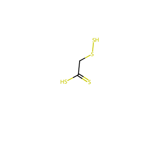 S=C(S)CSS